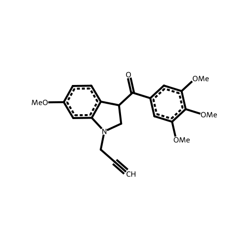 C#CCN1CC(C(=O)c2cc(OC)c(OC)c(OC)c2)c2ccc(OC)cc21